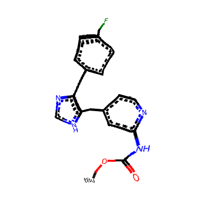 CC(C)(C)OC(=O)Nc1cc(-c2[nH]cnc2-c2ccc(F)cc2)ccn1